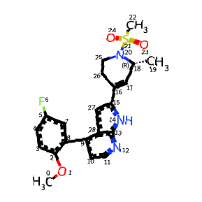 COc1ccc(F)cc1-c1ccnc2[nH]c(C3=C[C@@H](C)N(S(C)(=O)=O)CC3)cc12